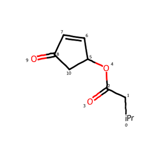 CC(C)CC(=O)OC1C=CC(=O)C1